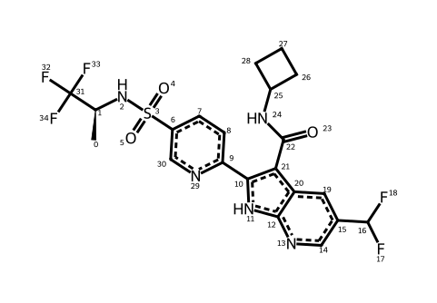 C[C@H](NS(=O)(=O)c1ccc(-c2[nH]c3ncc(C(F)F)cc3c2C(=O)NC2CCC2)nc1)C(F)(F)F